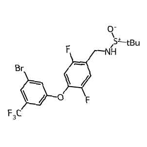 CC(C)(C)[S+]([O-])NCc1cc(F)c(Oc2cc(Br)cc(C(F)(F)F)c2)cc1F